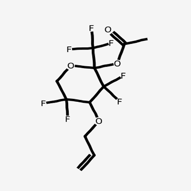 C=CCOC1C(F)(F)COC(OC(C)=O)(C(F)(F)F)C1(F)F